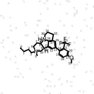 CCCC[N+]1(C)CC[C@H]2[C@@H](C1)c1cc(-c3ccc(OC)cc3C(F)(F)F)cc3c1N2CCC3